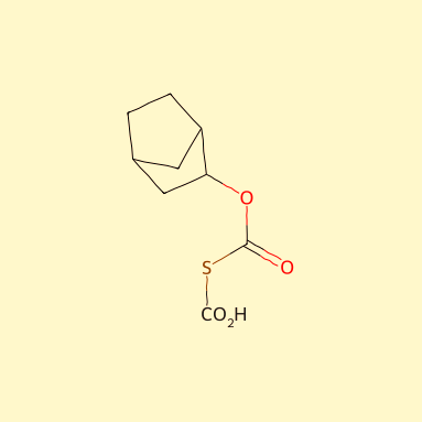 O=C(O)SC(=O)OC1CC2CCC1C2